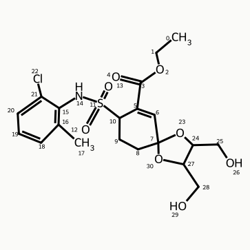 CCOC(=O)C1=CC2(CCC1S(=O)(=O)Nc1c(C)cccc1Cl)OC(CO)C(CO)O2